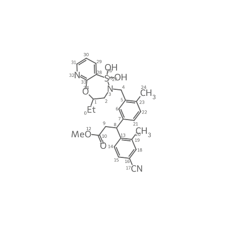 CCC1CN(Cc2cc(C(CC(=O)OC)c3ccc(C#N)cc3C)ccc2C)S(O)(O)c2cccnc2O1